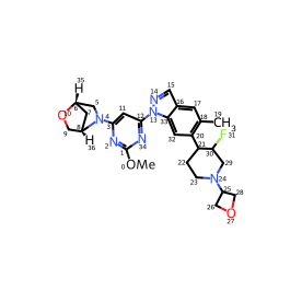 COc1nc(N2C[C@@H]3C[C@H]2CO3)cc(-n2ncc3cc(C)c(C4CCN(C5COC5)CC4F)cc32)n1